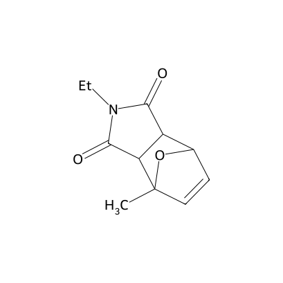 CCN1C(=O)C2C3C=CC(C)(O3)C2C1=O